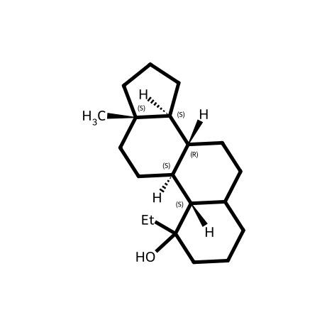 CCC1(O)CCCC2CC[C@@H]3[C@H](CC[C@]4(C)CCC[C@@H]34)[C@H]21